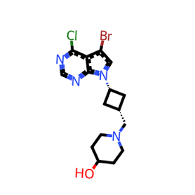 OC1CCN(C[C@H]2C[C@@H](n3cc(Br)c4c(Cl)ncnc43)C2)CC1